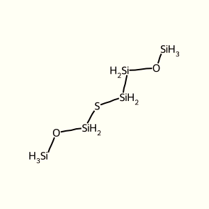 [SiH3]O[SiH2][SiH2]S[SiH2]O[SiH3]